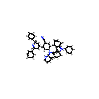 N#Cc1ccc(-n2c3ncccc3c3ccc4c(c5ccccc5n4-c4ccccc4)c32)cc1-c1cc(-c2ccccc2)nc(-c2ccccc2)c1